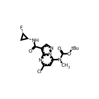 CN(C(=O)OC(C)(C)C)c1cc(Cl)nc2c(C(=O)N[C@@H]3C[C@@H]3F)cnn12